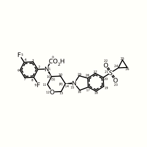 O=C(O)N(c1cc(F)ccc1F)[C@@H]1COC[C@H](N2Cc3ccc(S(=O)(=O)C4CC4)cc3C2)C1